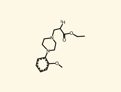 [2H]C(CN1CCN(c2ccccc2OC)CC1)C(=O)OCC